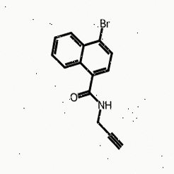 C#CCNC(=O)c1ccc(Br)c2ccccc12